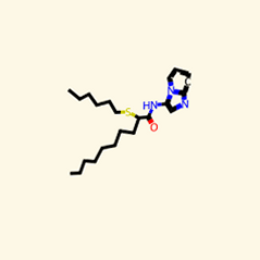 CCCCCCCCC(SCCCCCC)C(=O)Nc1cnc2ccccn12